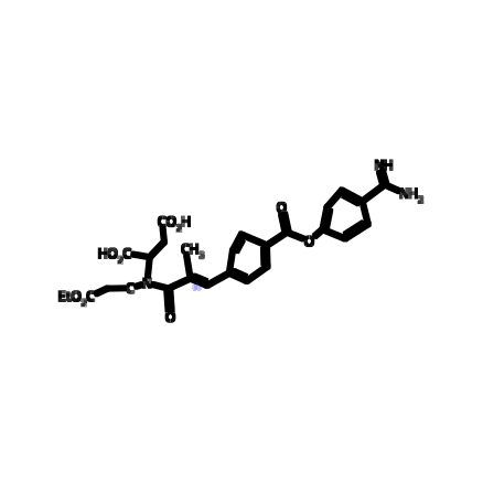 CCOC(=O)CCN(C(=O)/C(C)=C/c1ccc(C(=O)Oc2ccc(C(=N)N)cc2)cc1)C(CC(=O)O)C(=O)O